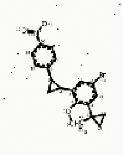 COc1c(C2CC2c2ccc([N+](=O)[O-])cc2)cc(Br)cc1C1(C)CC1